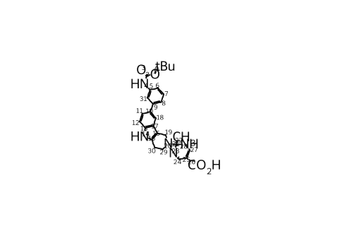 CC(C)(C)OC(=O)Nc1cccc(-c2ccc3[nH]c4c(c3c2)CN(C2(C)N=CC(C(=O)O)=CN2)CC4)c1